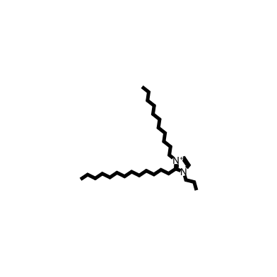 CCCCCCCCCCCCCc1n(CCC)cc[n+]1CCCCCCCCCCC